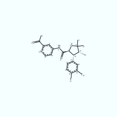 CC(=O)c1cc(NC(=O)[C@H]2OC(C)(C)[C@H](C)[C@@H]2c2ccc(F)c(F)c2)ccn1